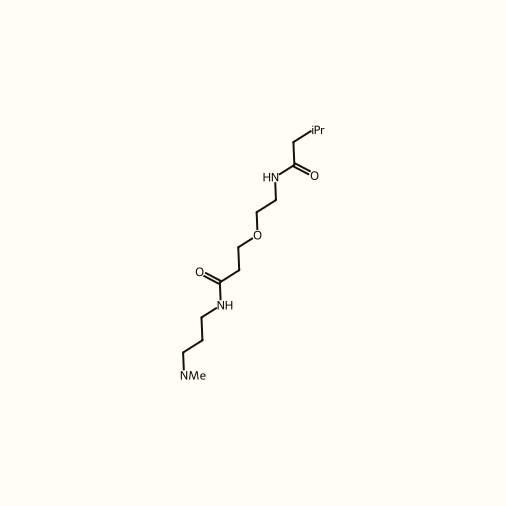 CNCCCNC(=O)CCOCCNC(=O)CC(C)C